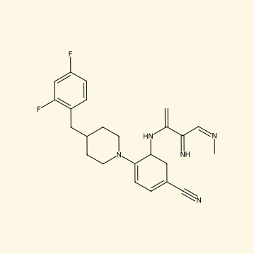 C=C(NC1CC(C#N)=CC=C1N1CCC(Cc2ccc(F)cc2F)CC1)C(=N)/C=N\C